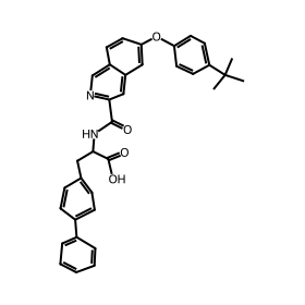 CC(C)(C)c1ccc(Oc2ccc3cnc(C(=O)NC(Cc4ccc(-c5ccccc5)cc4)C(=O)O)cc3c2)cc1